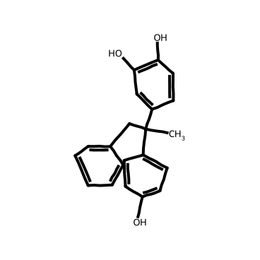 CC(Cc1ccccc1)(c1ccc(O)cc1)c1ccc(O)c(O)c1